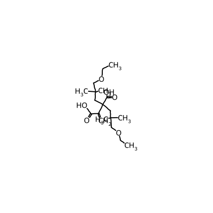 C=C(C(=O)O)C(CC(C)(C)COCC)(CC(C)(C)COCC)C(=O)O